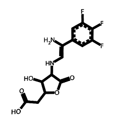 N/C(=C\NC1C(=O)OC(CC(=O)O)C1O)c1cc(F)c(F)c(F)c1